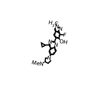 CN[C@@H]1CCN(c2ccc3nc(-c4cc5cn(C)nc5c(F)c4O)nc(C4CC4)c3c2)C1